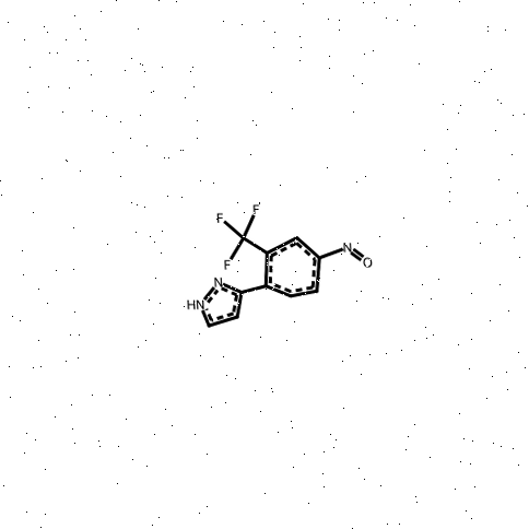 O=Nc1ccc(-c2cc[nH]n2)c(C(F)(F)F)c1